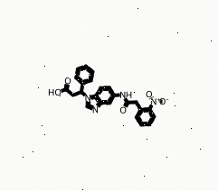 O=C(O)CC(c1ccccc1)n1cnc2cc(NC(=O)Cc3ccccc3[N+](=O)[O-])ccc21